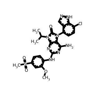 COc1cc(S(C)(=O)=O)ccc1Nc1nc(N)c2c(n1)n(C(C)C)c(=O)n2-c1ccc(Cl)c2[nH]ncc12